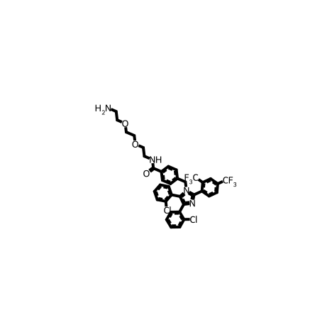 NCCOCCOCCNC(=O)c1ccc(Cn2c(-c3ccc(C(F)(F)F)cc3C(F)(F)F)nc(-c3ccccc3Cl)c2-c2ccccc2Cl)cc1